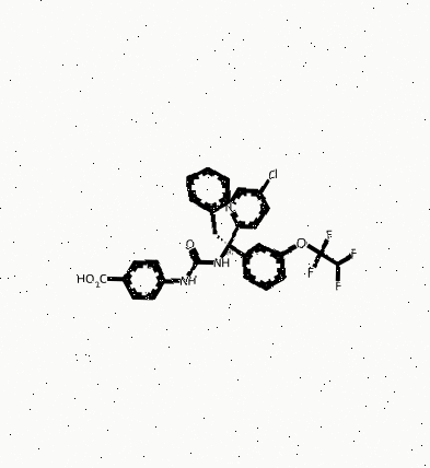 O=C(Nc1ccc(C(=O)O)cc1)N[C@](Cc1ccccc1)(c1cccc(OC(F)(F)C(F)F)c1)c1ccc(Cl)cn1